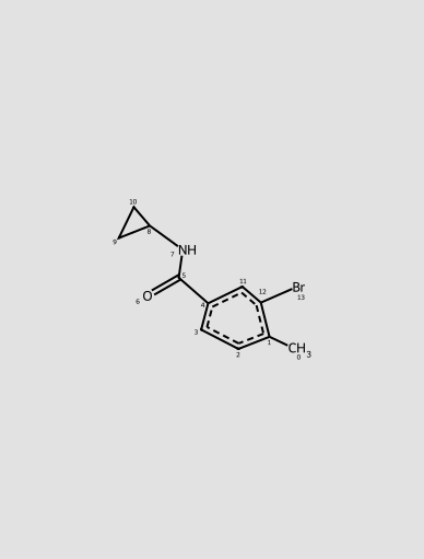 Cc1ccc(C(=O)NC2CC2)cc1Br